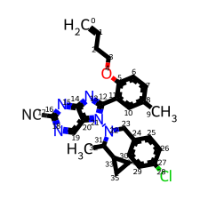 C=CCCOc1ccc(C)cc1-c1nc2nc(C#N)ncc2n1N(Cc1ccc(Cl)cc1)C(C)C1CC1